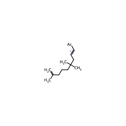 C=C(C)CCCC(C)(C)C/C=C/C(C)=O